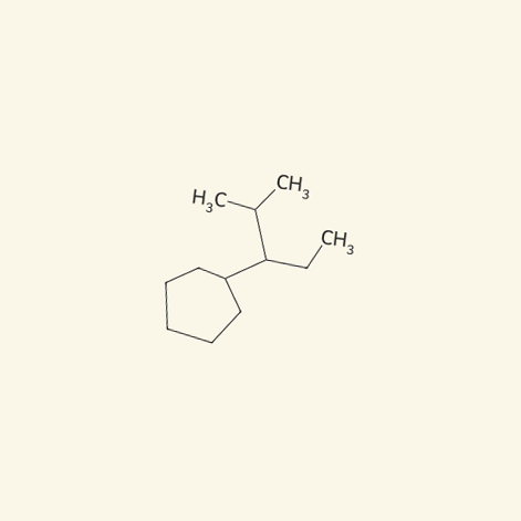 CCC(C(C)C)C1CCCCC1